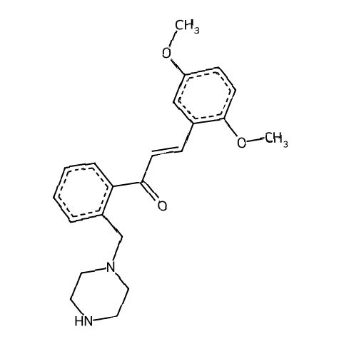 COc1ccc(OC)c(C=CC(=O)c2ccccc2CN2CCNCC2)c1